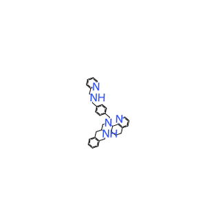 c1ccc(CNCc2ccc(CN(CC3Cc4ccccc4CN3)C3CCCc4cccnc43)cc2)nc1